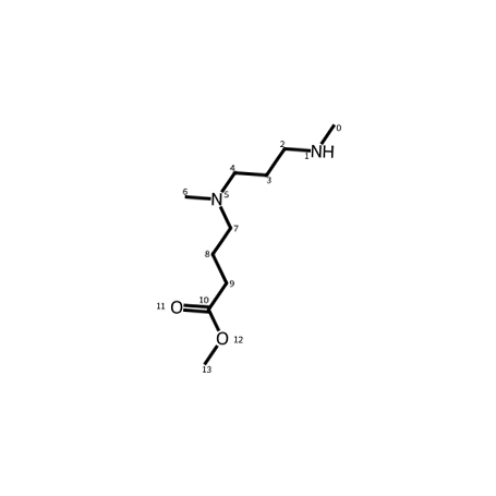 CNCCCN(C)CCCC(=O)OC